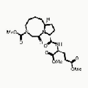 COC(=O)CC[C@H](NC(=O)[C@@H]1CC[C@@H]2CCCCN(C(=O)OC)CC(=O)N21)C(=O)OC